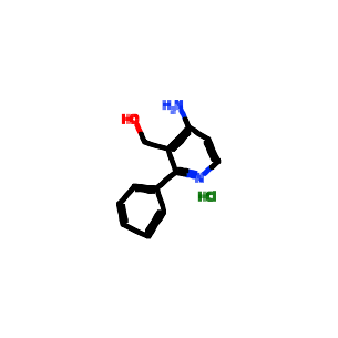 Cl.Nc1ccnc(-c2ccccc2)c1CO